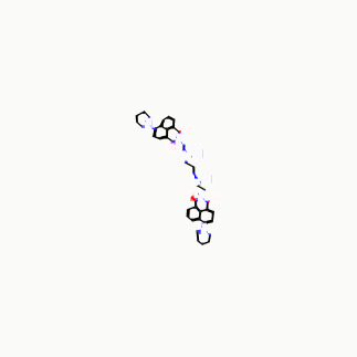 O=C1c2cccc3c(N4CCCCC4)ccc(c23)C(=O)N1CCNCCCNCCN1C(=O)c2cccc3c(N4CCCCC4)ccc(c23)C1=O